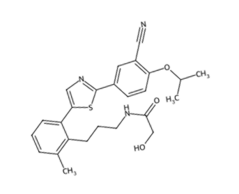 Cc1cccc(-c2cnc(-c3ccc(OC(C)C)c(C#N)c3)s2)c1CCCNC(=O)CO